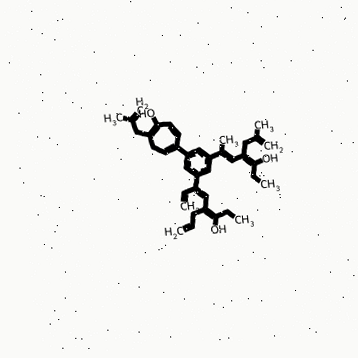 C=CCC(/C=C(\C=C)c1cc(C2=CCC(CC(=C)C)=C(O)C=C2)cc(/C(C)=C/C(CC(=C)C)=C(/O)CC)c1)=C(\O)CC